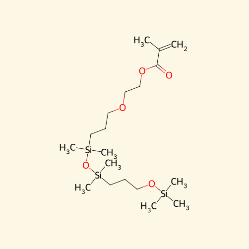 C=C(C)C(=O)OCCOCCC[Si](C)(C)O[Si](C)(C)CCCO[Si](C)(C)C